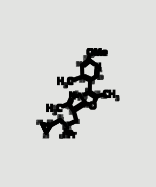 CCCN(Cc1c(C)nn2c(-c3cnc(OC)cc3C)c(C)oc12)CC1CC1